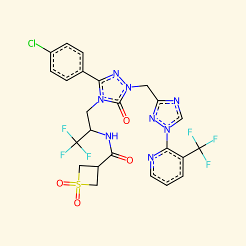 O=C(NC(Cn1c(-c2ccc(Cl)cc2)nn(Cc2ncn(-c3ncccc3C(F)(F)F)n2)c1=O)C(F)(F)F)C1CS(=O)(=O)C1